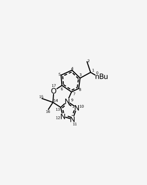 CCCCC(C)c1ccc2c(c1)-n1nnnc1C(C)(C)O2